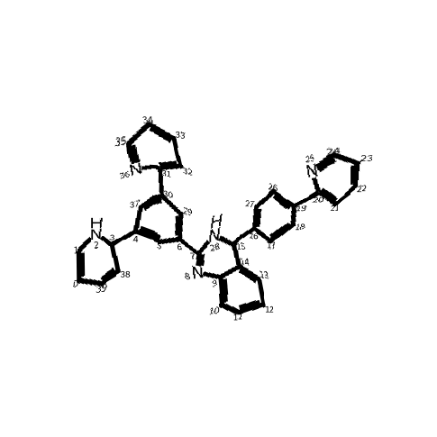 C1=CNC(c2cc(C3=Nc4ccccc4C(c4ccc(-c5ccccn5)cc4)N3)cc(-c3ccccn3)c2)C=C1